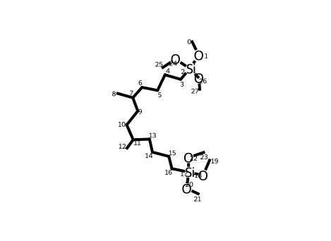 CO[Si](CCCCC(C)CCC(C)CCCC[Si](OC)(OC)OC)(OC)OC